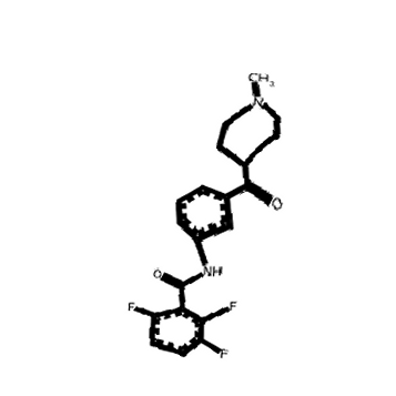 CN1CCC(C(=O)c2cccc(NC(=O)c3c(F)ccc(F)c3F)c2)CC1